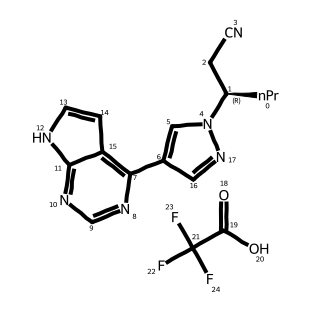 CCC[C@H](CC#N)n1cc(-c2ncnc3[nH]ccc23)cn1.O=C(O)C(F)(F)F